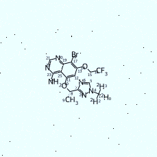 [2H]C([2H])([2H])n1cnc([C@H](C)Oc2cc(OCC(F)(F)F)c(Br)c3ncnc(N)c23)n1